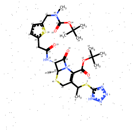 CC(Sc1nnn[nH]1)C1=C(C(=O)OC(C)(C)C)N2C(=O)[C@@H](NC(=O)Cc3ccc(CN(C)C(=O)OC(C)(C)C)s3)[C@@H]2SC1